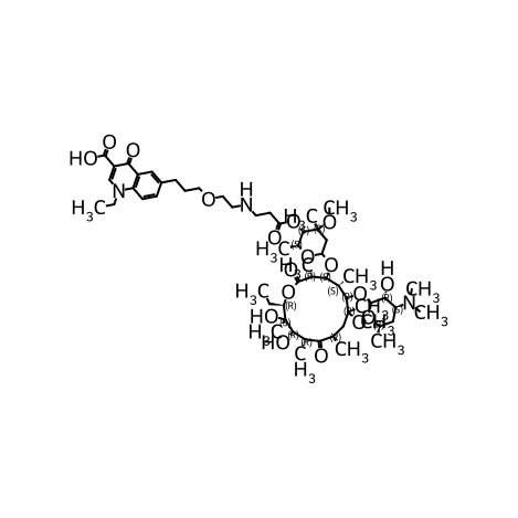 CC[C@H]1OC(=O)[C@H](C)[C@@H](OC2C[C@@](C)(OC)[C@@H](OC(=O)CCNCCOCCCc3ccc4c(c3)c(=O)c(C(=O)O)cn4CC)[C@H](C)O2)[C@H](C)[C@@H](OC2O[C@H](C)C[C@H](N(C)C)[C@H]2O)[C@](C)(OC)C[C@@H](C)C(=O)[C@H](C)[C@@H](O)[C@]1(C)O